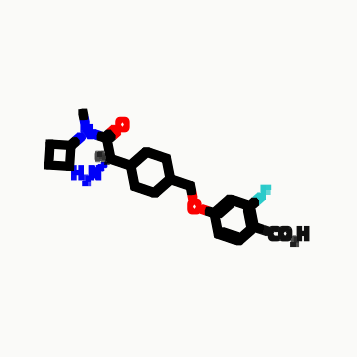 CN(C(=O)[C@@H](N)C1CCC(COc2ccc(C(=O)O)c(F)c2)CC1)C1CCC1